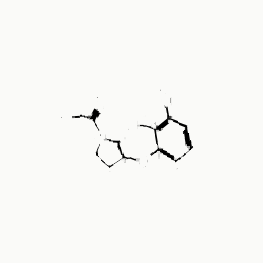 S=C(Cl)N1CCC(Oc2cccc(Cl)c2Cl)C1